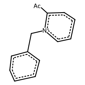 CC(=O)c1cccc[n+]1Cc1ccccc1